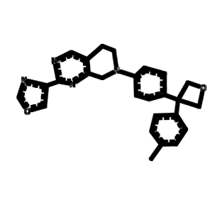 Cc1ccc(C2(c3ccc(N4CCc5cnc(-c6cocn6)nc5C4)cc3)COC2)cc1